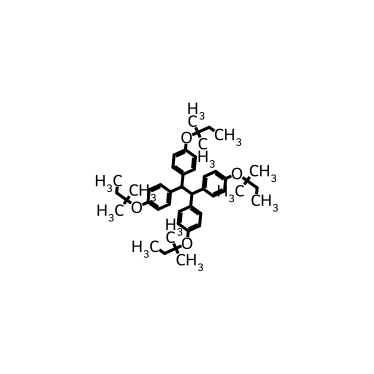 CCC(C)(C)Oc1ccc(C(c2ccc(OC(C)(C)CC)cc2)C(c2ccc(OC(C)(C)CC)cc2)c2ccc(OC(C)(C)CC)cc2)cc1